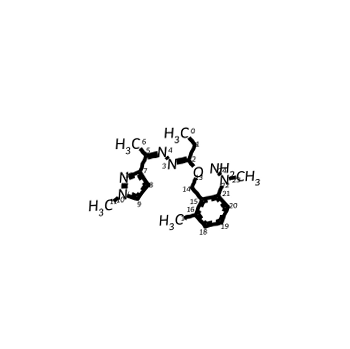 CCC(=NN=C(C)c1ccn(C)n1)OCc1c(C)cccc1N(C)N